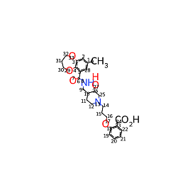 Cc1cc2c(c(C(=O)NC[C@@H]3CCN(CCCOc4ccccc4C(=O)O)C[C@H]3O)c1)OCCCO2